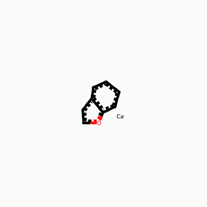 [Ca].c1ccc2occc2c1